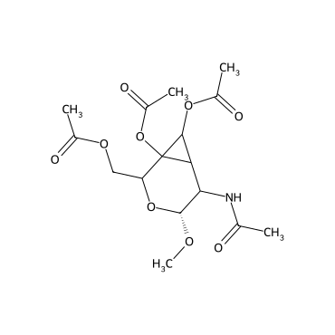 CO[C@@H]1OC(COC(C)=O)C2(OC(C)=O)C(OC(C)=O)C2C1NC(C)=O